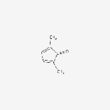 CC1=CC=C(C)C1=O